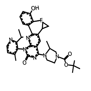 Cc1ccnc(C(C)C)c1-n1c(=O)nc(N2CCN(C(=O)OC(C)(C)C)CC2C)c2cc(C3CC3)c(-c3cccc(O)c3F)nc21